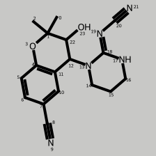 CC1(C)Oc2ccc(C#N)cc2C(N2CCCNC2=NC#N)C1O